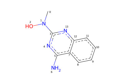 CN(O)c1nc(N)c2ccccc2n1